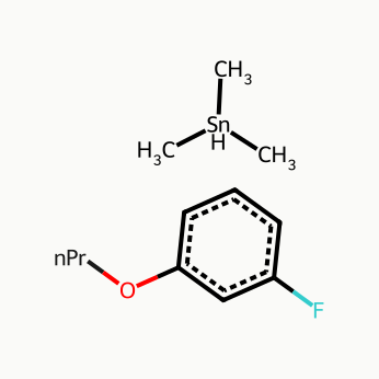 [CH2]CCOc1cccc(F)c1.[CH3][SnH]([CH3])[CH3]